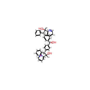 CC(O)(B(c1ccccc1)c1ccc(C(O)c2ccc(B(c3ccccc3)C(C)(O)c3ccccn3)cc2)cc1)c1ccccn1